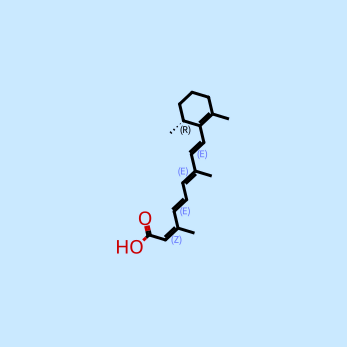 CC1=C(/C=C/C(C)=C/C=C/C(C)=C\C(=O)O)[C@H](C)CCC1